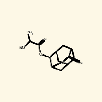 CC(O)C(=O)OC1C2CC3CC(C2)C(=O)OC1C3